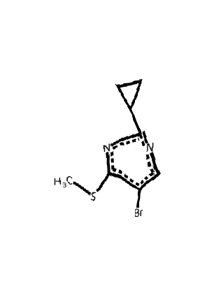 CSc1nc(C2CC2)ncc1Br